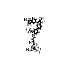 COc1cc(-c2ccc3nc(C)c(-c4cnc(N)c(C(F)(F)F)c4)n3n2)ccc1OCCCNC(=O)OC(C)(C)C